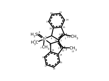 CC1=C(C)[CH]([Zr]([CH3])([CH3])(=[SiH2])[CH]2C(C)=C(C)c3ccccc32)c2ccccc21